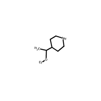 C[CH]OC(C)C1CCNCC1